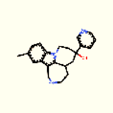 Cc1ccc2c(c1)c1c3n2CCC(O)(c2cccnc2)CC3CCNC1